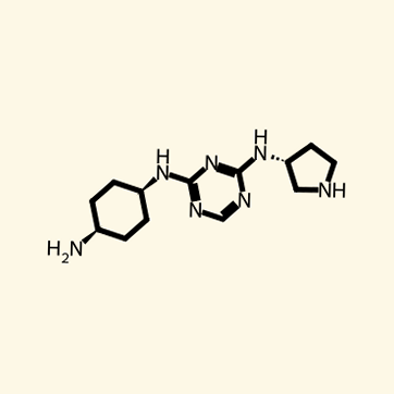 N[C@H]1CC[C@@H](Nc2ncnc(N[C@@H]3CCNC3)n2)CC1